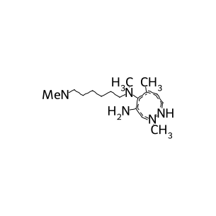 CNCCCCCCN(C)c1c(C)cc[nH]n(C)cc1N